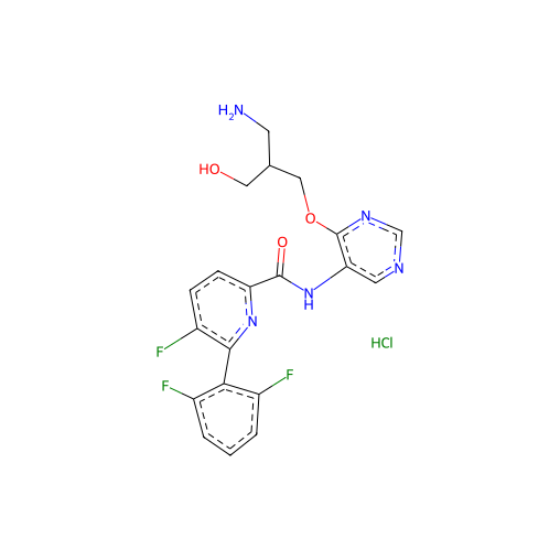 Cl.NCC(CO)COc1ncncc1NC(=O)c1ccc(F)c(-c2c(F)cccc2F)n1